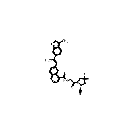 C/C(=C\c1ccc2nccc(C(=O)NCC(=O)N3CC(F)(F)C[C@H]3C#N)c2c1)c1ccc2c(C)coc2c1